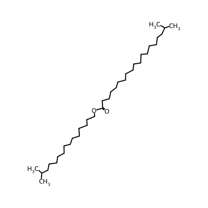 CC(C)CCCCCCCCCCCCCCCCC(=O)OCCCCCCCCCCCCCC(C)C